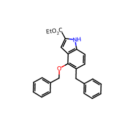 CCOC(=O)c1cc2c(OCc3ccccc3)c(Cc3ccccc3)ccc2[nH]1